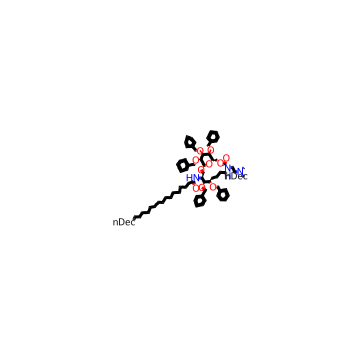 CCCCCCCCCCCCCCCCCCCCCCCCCC(=O)N[C@@H](CO[C@@H]1O[C@H](COC(=O)NCCN(C)C)[C@H](OCc2ccccc2)[C@H](OCc2ccccc2)[C@H]1OCc1ccccc1)[C@H](OCc1ccccc1)[C@@H](CCCCCCCCCCCCCC)OCc1ccccc1